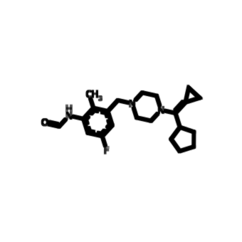 Cc1c(CN2CCN(C(=C3CC3)C3CCCC3)CC2)cc(F)cc1NC=O